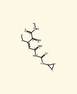 CC/C(=C/C(=N)NC(=O)OC1CC1)C(=N)C(=O)NC